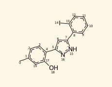 Cc1ccc(-c2cc(-c3ccccc3I)[nH]n2)c(O)c1